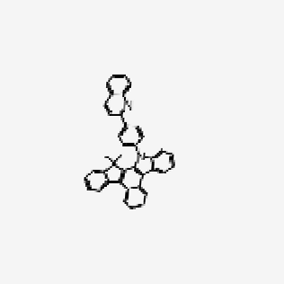 CC1(C)c2ccccc2-c2c1c1c(c3ccccc23)c2ccccc2n1-c1ccc(-c2ccc3ccccc3n2)cc1